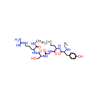 CNC(=O)C(CCCNC(=N)N)NC(=O)C(CO)NC(=O)CNC(=O)C(CCSC)NC(=O)C(Cc1ccc(O)cc1)NC